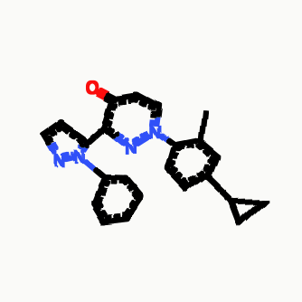 Cc1cc(C2CC2)ccc1-n1ccc(=O)c(-c2ccnn2-c2ccccc2)n1